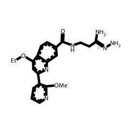 CCOc1cc(-c2cccnc2OC)nc2cc(C(=O)NCC/C(N)=N/N)ccc12